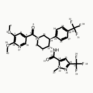 COc1cc(C(=O)N2CC[C@@H](NC(=O)c3cc(C(F)(F)F)nn3C)[C@H](c3ccc(C(F)(F)F)cc3)C2)cnc1OC